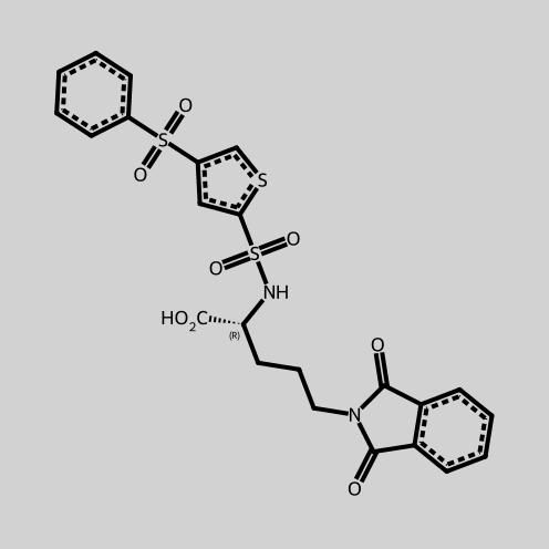 O=C(O)[C@@H](CCCN1C(=O)c2ccccc2C1=O)NS(=O)(=O)c1cc(S(=O)(=O)c2ccccc2)cs1